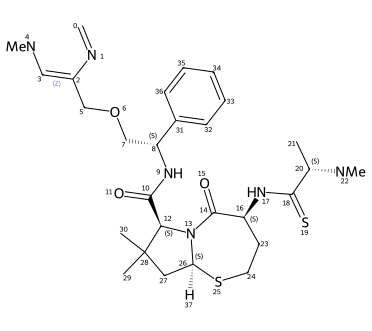 C=N/C(=C\NC)COC[C@@H](NC(=O)[C@H]1N2C(=O)[C@@H](NC(=S)[C@H](C)NC)CCS[C@H]2CC1(C)C)c1ccccc1